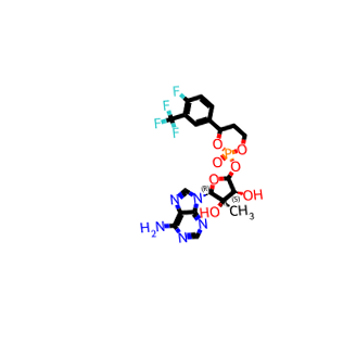 C[C@@]1(O)[C@H](O)C(OP2(=O)OCCC(c3ccc(F)c(C(F)(F)F)c3)O2)O[C@H]1n1cnc2c(N)ncnc21